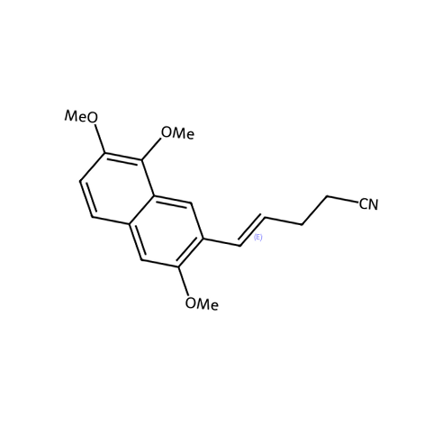 COc1cc2ccc(OC)c(OC)c2cc1/C=C/CCC#N